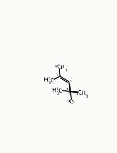 CC(C)=CC(C)(C)[O]